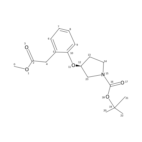 COC(=O)Cc1ccccc1O[C@H]1CCN(C(=O)OC(C)(C)C)C1